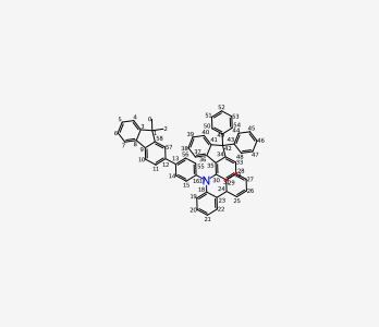 CC1(C)c2ccccc2-c2ccc(-c3ccc(N(c4ccccc4C4C=CC=CC4)c4cccc5c4-c4ccccc4C5(c4ccccc4)c4ccccc4)cc3)cc21